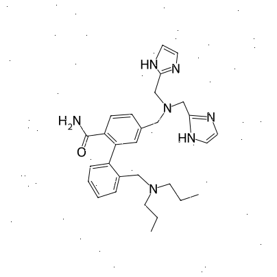 CCCN(CCC)Cc1ccccc1-c1cc(CN(Cc2ncc[nH]2)Cc2ncc[nH]2)ccc1C(N)=O